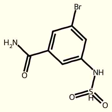 NC(=O)c1cc(Br)cc(N[SH](=O)=O)c1